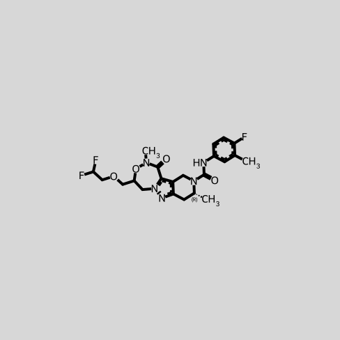 Cc1cc(NC(=O)N2Cc3c(nn4c3C(=O)N(C)OC(COCC(F)F)C4)C[C@H]2C)ccc1F